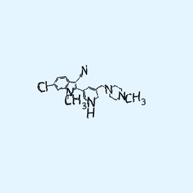 CN1CCN(CC2=CC(c3c(C#N)c4ccc(Cl)cc4n3C)=CNC2)CC1